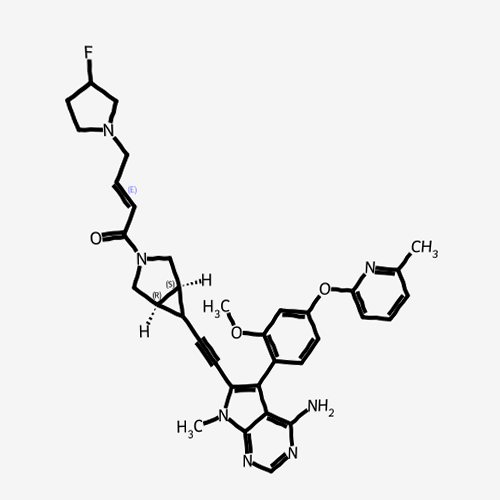 COc1cc(Oc2cccc(C)n2)ccc1-c1c(C#CC2[C@H]3CN(C(=O)/C=C/CN4CCC(F)C4)C[C@@H]23)n(C)c2ncnc(N)c12